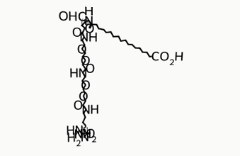 NN[C@@H](CCCCNC(=O)COCCOCCNC(=O)COCCOCCNC(=O)CC[C@@H](C=O)NC(=O)CCCCCCCCCCCCCCCCC(=O)O)C(N)=O